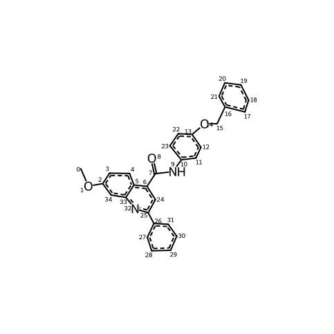 COc1ccc2c(C(=O)Nc3ccc(OCc4ccccc4)cc3)cc(-c3ccccc3)nc2c1